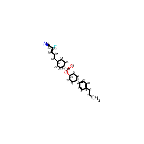 CCCc1ccc([C@H]2CC[C@H](OC(=O)[C@H]3CC[C@H](CCC=C(F)C#N)CC3)CC2)cc1